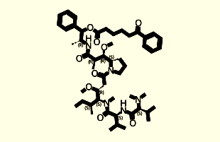 CC[C@H](C)[C@@H]([C@@H](CC(=O)N1CCC[C@H]1[C@H](OC)[C@@H](C)C(=O)N[C@H](C)C(OC(=O)CCCCC(=O)c1ccccc1)c1ccccc1)OC)N(C)C(=O)[C@@H](NC(=O)[C@H](C(C)C)N(C)C)C(C)C